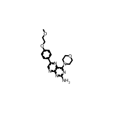 COCCOc1ccc(-c2cnc3nc(N)nc(N4CCOCC4)c3n2)cc1